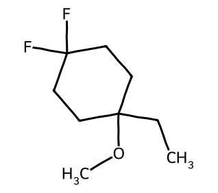 CCC1(OC)CCC(F)(F)CC1